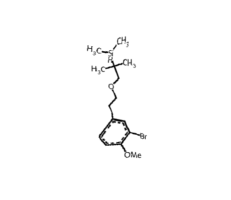 COc1ccc(CCOCC(C)(C)[SiH](C)C)cc1Br